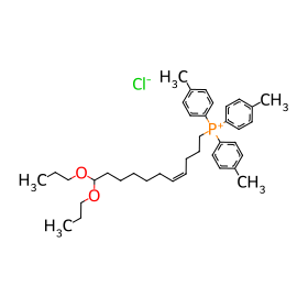 CCCOC(CCCCC/C=C\CCC[P+](c1ccc(C)cc1)(c1ccc(C)cc1)c1ccc(C)cc1)OCCC.[Cl-]